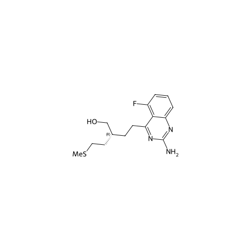 CSCC[C@H](CO)CCc1nc(N)nc2cccc(F)c12